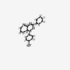 Brc1ccc(-c2nc(-c3ccccc3)nc3ncccc23)cc1